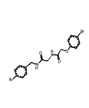 O=C(CNC(=O)COc1ccc(Br)cc1)NCc1ccc(Br)cc1